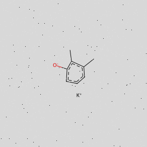 Cc1cccc([O-])c1C.[K+]